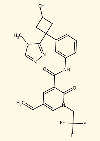 C=Cc1cc(C(=O)Nc2cccc(C3(c4nncn4C)CC(C)C3)c2)c(=O)n(CC(F)(F)F)c1